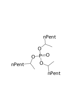 CCCCCC(C)OP(=O)(OC(C)CCCCC)OC(C)CCCCC